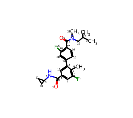 Cc1c(F)cc(C(=O)NC2CC2)cc1-c1ccc(C(=O)N(C)CC(C)C)c(F)c1